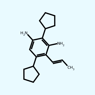 CC=Cc1c(C2CCCC2)cc(N)c(C2CCCC2)c1N